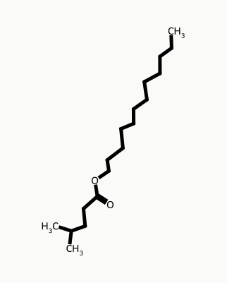 CCCCCCCCCCCCOC(=O)CCC(C)C